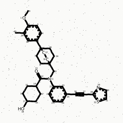 COc1ccc(C23CCC(CN(C(=O)C4CCC(O)CC4)c4cccc(C#Cc5nccs5)c4)(CC2)CC3)cc1C